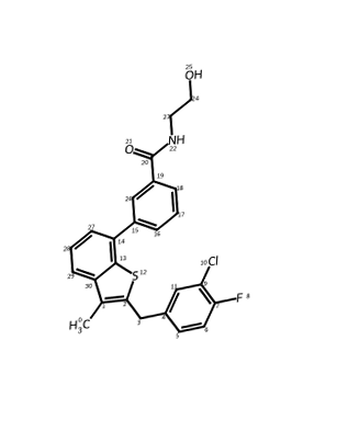 Cc1c(Cc2ccc(F)c(Cl)c2)sc2c(-c3cccc(C(=O)NCCO)c3)cccc12